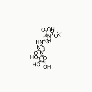 CC(C)(C)OC(=O)N[C@@H](CC(=O)Nc1ccn([C@@H]2O[C@H](CO)[C@@H](O)[C@@H]2O)c(=O)n1)C(=O)O